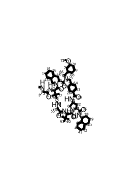 CN[C@@H](C)C(=O)NC(C(=O)N1Cc2ccccc2C[C@H]1C(=O)N(Cc1ccc(C(=O)N[C@H]2C[C@@H](C(=O)N[C@@H]3CCCc4ccccc43)N(C(=O)[C@@H](NC(=O)[C@H](C)NC)C(C)(C)C)C2)cc1)[C@H](C)c1cccc(OC)c1)C(C)(C)C